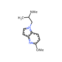 CNC(C)Cn1ccc2nc(OC)ccc21